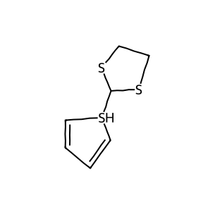 C1=C[SH](C2SCCS2)C=C1